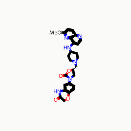 COc1ccc2nccc(NC3CCN(C[C@@H]4CN(c5ccc6c(c5)NC(=O)CO6)C(=O)O4)CC3)c2n1